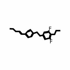 CCCC=Cc1ccc(CCc2cc(F)c(CCC)c(F)c2)cc1